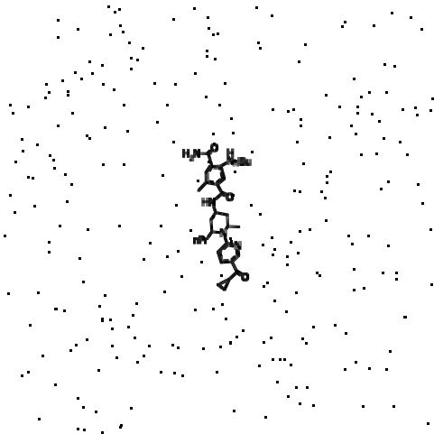 CCCC1CC(NC(=O)c2cc(N[C@H](C)CC)c(C(N)=O)cc2C)CC(C)N1c1ccc(C(=O)C2CC2)cn1